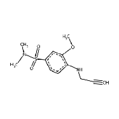 C#CCNc1ccc(S(=O)(=O)N(C)C)cc1OC